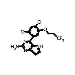 Nc1nc(-c2cc(OCCC(F)(F)F)c(Cl)cc2Cl)c2[nH]ccc2n1